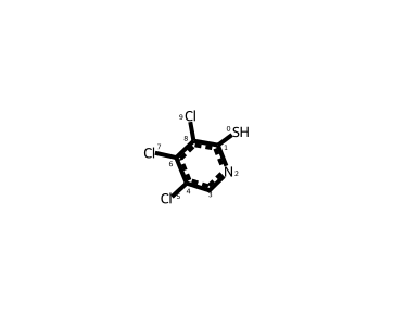 Sc1ncc(Cl)c(Cl)c1Cl